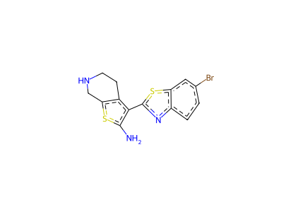 Nc1sc2c(c1-c1nc3ccc(Br)cc3s1)CCNC2